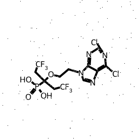 O=P(O)(O)C(CC(F)(F)F)(CC(F)(F)F)OCCn1cnc2c(Cl)nc(Cl)nc21